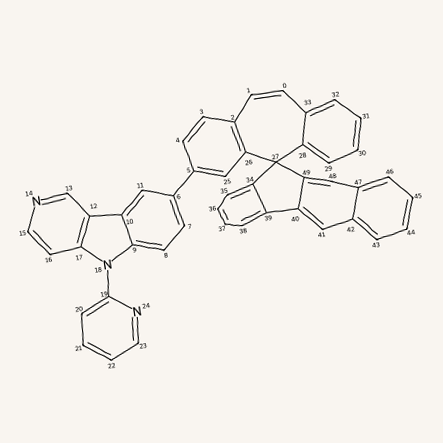 C1=Cc2ccc(-c3ccc4c(c3)c3cnccc3n4-c3ccccn3)cc2C2(c3ccccc31)c1ccccc1-c1cc3ccccc3cc12